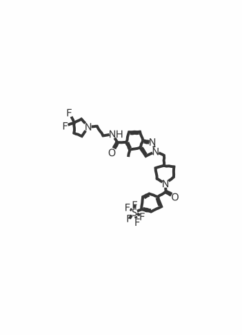 Cc1c(C(=O)NCCN2CCC(F)(F)C2)ccc2nn(CC3CCN(C(=O)c4ccc(S(F)(F)(F)(F)F)cc4)CC3)cc12